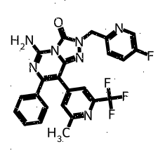 Cc1cc(-c2c(-c3ccccc3)nc(N)n3c(=O)n(Cc4ccc(F)cn4)nc23)cc(C(F)(F)F)n1